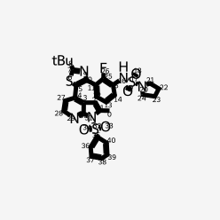 Cc1cc2c(-c3sc(C(C)(C)C)nc3-c3cccc(NS(=O)(=O)N4CCCC4)c3F)ccnc2n1S(=O)(=O)c1ccccc1